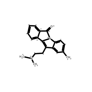 Cc1ccc2c(c1)c(CCN(C)C)c1n2C(=O)c2ccccc2-1